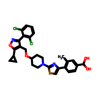 Cc1cc(C(O)O)ccc1-c1csc(N2CCC(OCc3c(-c4c(Cl)cccc4Cl)noc3C3CC3)CC2)n1